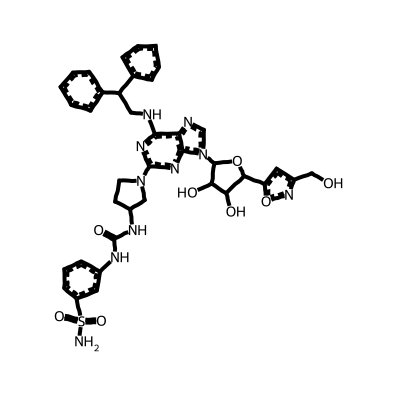 NS(=O)(=O)c1cccc(NC(=O)NC2CCN(c3nc(NCC(c4ccccc4)c4ccccc4)c4ncn(C5OC(c6cc(CO)no6)C(O)C5O)c4n3)C2)c1